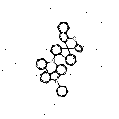 Cc1ccccc1N(c1cccc2c1-c1ccccc1C21c2ccccc2Oc2c1ccc1ccccc21)c1cccc2c1c1ccccc1n2-c1ccccc1